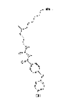 CCCCCCCCCCCCCCCCC(C)SCCNC(=O)NC(=O)c1ccc(Oc2ccc(O)cc2)cc1